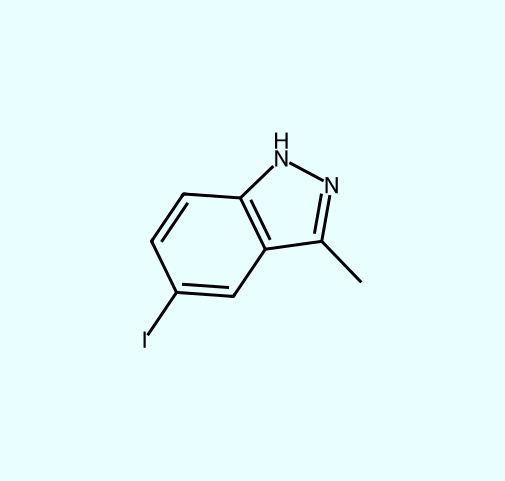 Cc1n[nH]c2ccc(I)cc12